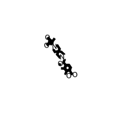 COC(CN1CCC2(CC1)CCN(c1c(C)c(=O)c1=O)CC2)c1ccc2c(c1C)COC2=O